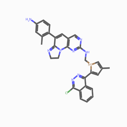 CC1=C[SH](CNc2ncc3c(n2)N2CCN=C2C(c2ccc(N)cc2C)=C3)C(c2nnc(Cl)c3ccccc23)=C1